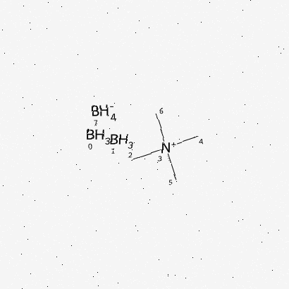 B.B.C[N+](C)(C)C.[BH4-]